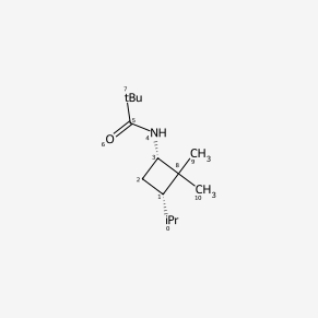 CC(C)[C@@H]1C[C@H](NC(=O)C(C)(C)C)C1(C)C